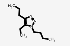 CCCCn1nnc(CCC)c1CC